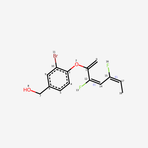 C=C(Oc1ccc(CO)cc1Br)/C(F)=C\C(F)=C/C